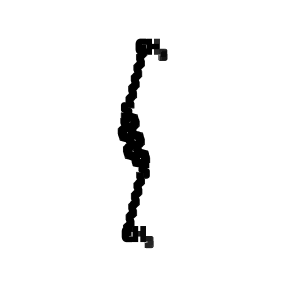 CCCCCCCCCCCCSc1ccc2c(ccc3c2ccc2c4ccc(SCCCCCCCCCCCC)cc4ccc23)c1